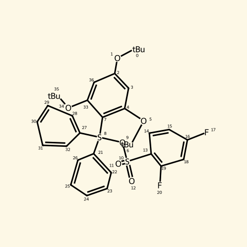 CC(C)(C)Oc1cc(OC(C)(C)C)c(S(OS(=O)(=O)c2ccc(F)cc2F)(c2ccccc2)c2ccccc2)c(OC(C)(C)C)c1